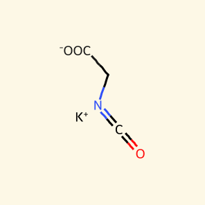 O=C=NCC(=O)[O-].[K+]